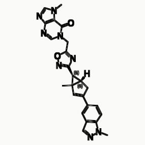 Cn1cnc2ncn(Cc3nc([C@H]4[C@@H]5CC(c6ccc7c(cnn7C)c6)=CC54C)no3)c(=O)c21